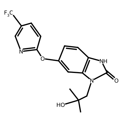 CC(C)(O)Cn1c(=O)[nH]c2ccc(Oc3ccc(C(F)(F)F)cn3)cc21